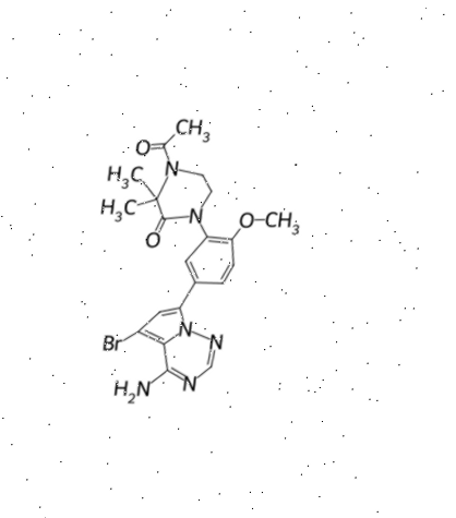 COc1ccc(-c2cc(Br)c3c(N)ncnn23)cc1N1CCN(C(C)=O)C(C)(C)C1=O